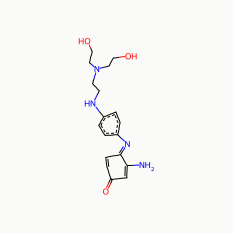 NC1=CC(=O)C=C/C1=N\c1ccc(NCCN(CCO)CCO)cc1